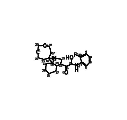 O=C(C(O)Nc1ccccc1F)C1CNC2(C3CCCCCCC3)CCCCC12